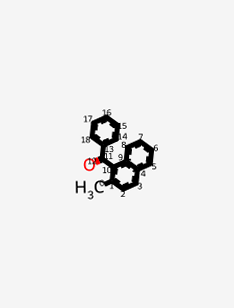 Cc1ccc2ccccc2c1C(=O)c1ccccc1